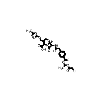 Cc1nnc(SCC2=C(C(=O)O)N3C(=O)C(NC(=O)Cc4ccc(C(=O)OC(C)OC(=O)CCl)cc4)[C@@H]3SC2)s1